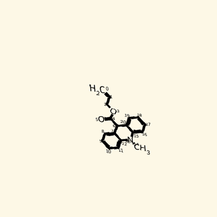 C=CCOC(=O)C1c2ccccc2N(C)c2ccccc21